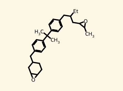 CCC(Cc1ccc(C(C)(C)c2ccc(CC3CCC4OC4C3)cc2)cc1)CC1OC1C